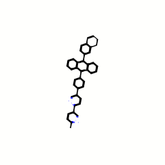 Cc1ccc(-c2ccc(-c3ccc(-c4c5ccccc5c(-c5ccc6c(c5)CCC=C6)c5ccccc45)cc3)cn2)cn1